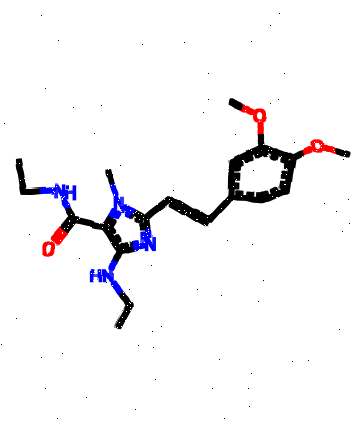 CCNC(=O)c1c(NCC)nc(/C=C/c2ccc(OC)c(OC)c2)n1C